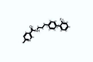 Cc1ccc(C(=O)NCCCc2ccc(-c3ccccc3F)cc2)cn1